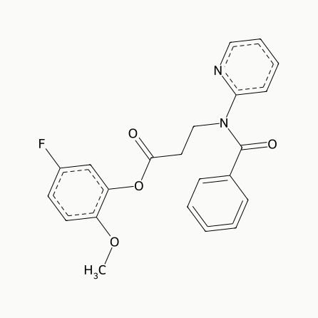 COc1ccc(F)cc1OC(=O)CCN(C(=O)C1=CC=C=C=C1)c1ccccn1